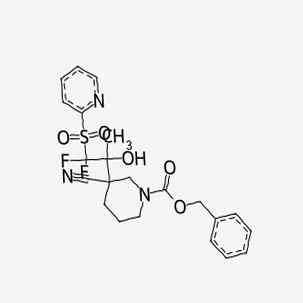 CC(O)(C1(C#N)CCCN(C(=O)OCc2ccccc2)C1)C(F)(F)S(=O)(=O)c1ccccn1